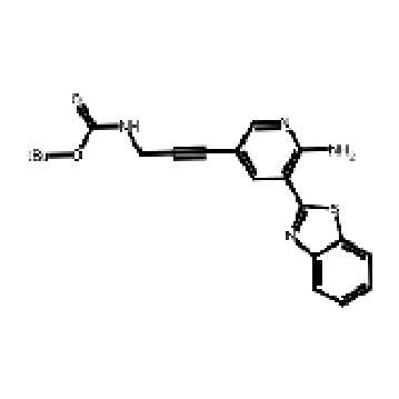 CC(C)(C)OC(=O)NCC#Cc1cnc(N)c(-c2nc3ccccc3s2)c1